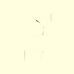 CC(C)[C@H](NC(=O)[C@@H](N)CO)C(=O)O